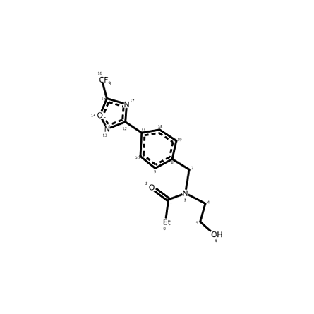 CCC(=O)N(CCO)Cc1ccc(-c2noc(C(F)(F)F)n2)cc1